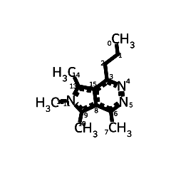 CCCc1nnc(C)c2c(C)n(C)c(C)c12